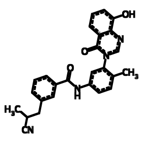 Cc1ccc(NC(=O)c2cccc(CC(C)C#N)c2)cc1-n1cnc2c(O)cccc2c1=O